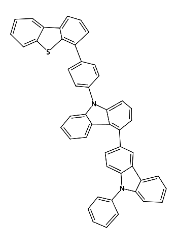 c1ccc(-n2c3ccccc3c3cc(-c4cccc5c4c4ccccc4n5-c4ccc(-c5cccc6c5sc5ccccc56)cc4)ccc32)cc1